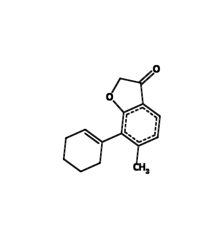 Cc1ccc2c(c1C1=CCCCC1)OCC2=O